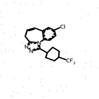 FC(F)(F)C1CCC(c2nnc3n2-c2ccc(Cl)cc2C=CC3)CC1